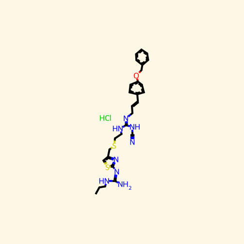 CCCNC(N)=Nc1nc(CSCCNC(=NCC=Cc2ccc(OCc3ccccc3)cc2)NC#N)cs1.Cl